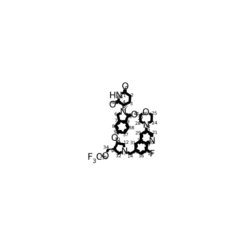 O=C1CC[C@H](N2Cc3cc(O[C@@H]4CN(Cc5cc(F)c6ncc(N7CCOCC7)cc6c5)C[C@H]4COC(F)(F)F)ccc3C2=O)C(=O)N1